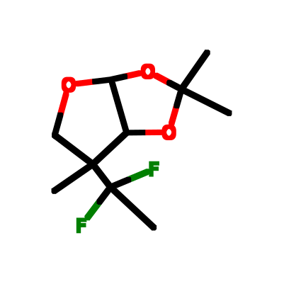 CC1(C)OC2OCC(C)(C(C)(F)F)C2O1